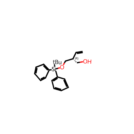 C=C[C@H](CO)CO[Si](c1ccccc1)(c1ccccc1)C(C)(C)C